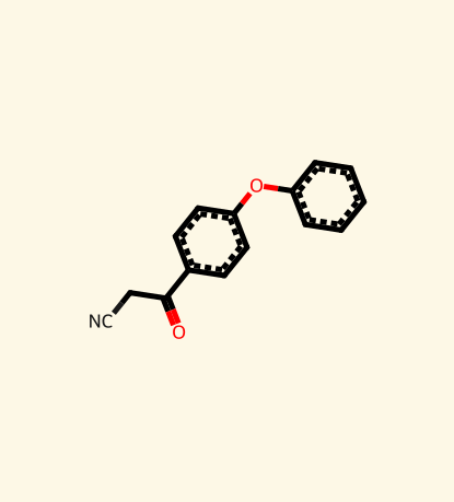 N#CCC(=O)c1ccc(Oc2ccccc2)cc1